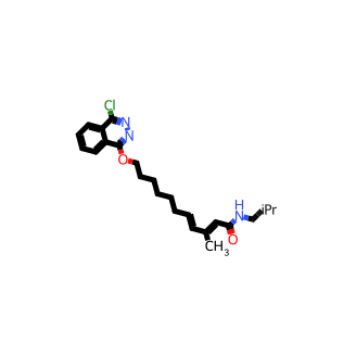 CC(C=CCCCCCCOc1nnc(Cl)c2ccccc12)=CC(=O)NCC(C)C